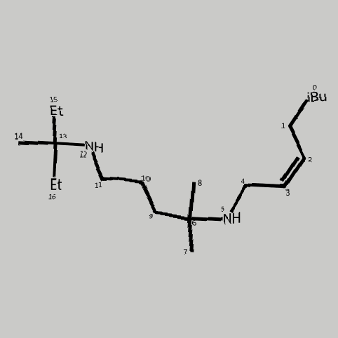 CCC(C)C/C=C\CNC(C)(C)CCCNC(C)(CC)CC